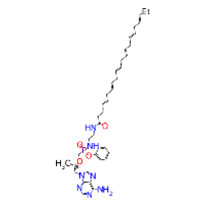 CCC=CCC=CCC=CCC=CCC=CCC=CCCC(=O)NCCNP(=O)(CO[C@H](C)Cn1cnc2c(N)ncnc21)Oc1ccccc1